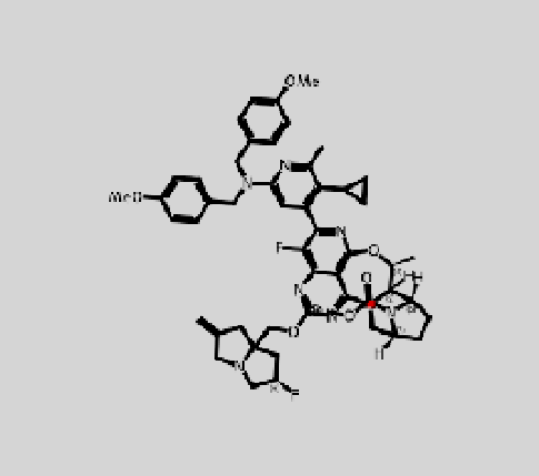 C=C1CN2C[C@H](F)CC2(COc2nc3c4c(nc(-c5cc(N(Cc6ccc(OC)cc6)Cc6ccc(OC)cc6)nc(C)c5C5CC5)c(F)c4n2)O[C@@H](C)[C@@H]2[C@@H]4CC[C@H](CN32)N4C(=O)OC(C)(C)C)C1